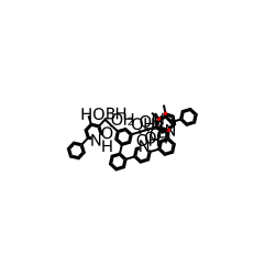 BC(O)(c1cnc(-c2ccccc2)cc1C)C(O)(O)c1cc(-c2ccccc2-c2ccc(-c3cccc4c3oc3nc(C)ccc34)nc2)cc(C(O)(O)C(O)(O)c2cnc(-c3ccccc3)cc2C)c1